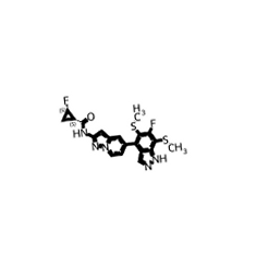 CSc1c(F)c(SC)c2[nH]ncc2c1-c1ccn2nc(NC(=O)[C@@H]3C[C@@H]3F)cc2c1